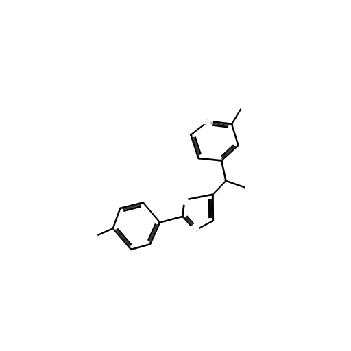 Cc1cc(C(O)c2cnc(-c3ccc(F)cc3)s2)ccn1